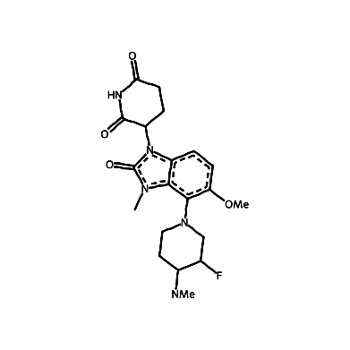 CNC1CCN(c2c(OC)ccc3c2n(C)c(=O)n3C2CCC(=O)NC2=O)CC1F